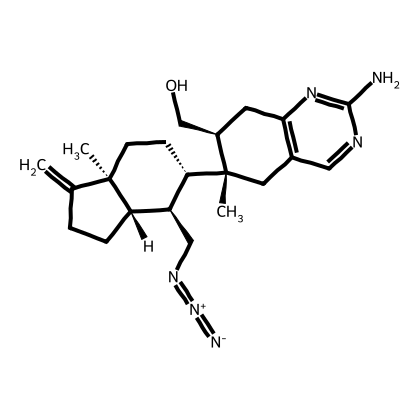 C=C1CC[C@H]2[C@H](CN=[N+]=[N-])[C@@H]([C@@]3(C)Cc4cnc(N)nc4C[C@@H]3CO)CC[C@]12C